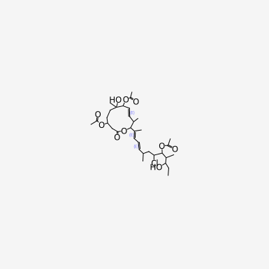 CCC(O)C(C)C(OC(C)=O)C(Cl)CC(C)/C=C/C=C(\C)C1OC(=O)CC(OC(C)=O)CCC(C)(O)C(OC(C)=O)/C=C/C1C